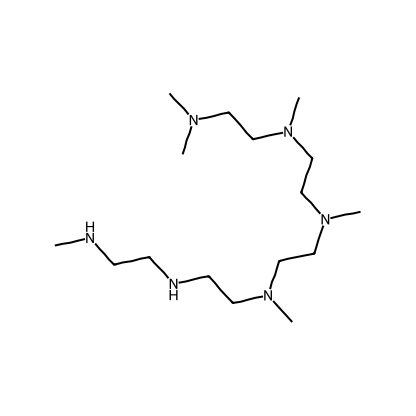 CNCCNCCN(C)CCN(C)CCN(C)CCN(C)C